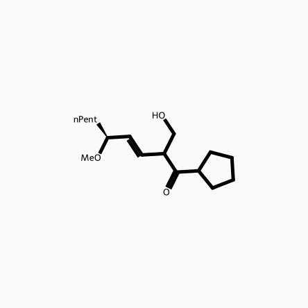 CCCCC[C@@H](C=CC(CO)C(=O)C1CCCC1)OC